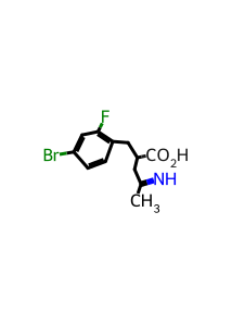 CC(=N)CC(Cc1ccc(Br)cc1F)C(=O)O